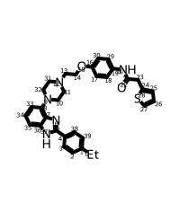 CCc1ccc(-c2nc3c(N4CCN(CCOc5ccc(NC(=O)Cc6cccs6)cc5)CC4)cccc3[nH]2)cc1